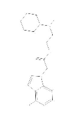 CN(CCNC(=O)Cn1ccc2c(F)cccc21)C1CCCCC1